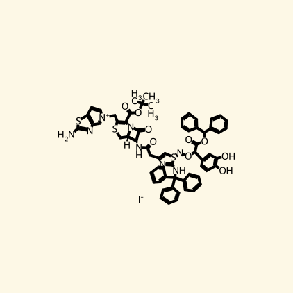 CC(C)(C)OC(=O)C1=C(C[n+]2ccc3sc(N)nc3c2)SC[C@H]2[C@@H](NC(=O)CC3=C/S(=N/OC(C(=O)OC(c4ccccc4)c4ccccc4)c4ccc(O)c(O)c4)C(NC(c4ccccc4)(c4ccccc4)c4ccccc4)=N3)C(=O)N12.[I-]